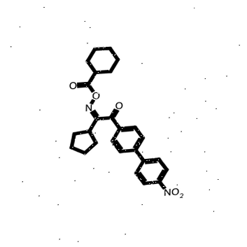 O=C(/C(=N\OC(=O)C1CCCCC1)C1CCCC1)c1ccc(-c2ccc([N+](=O)[O-])cc2)cc1